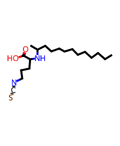 CCCCCCCCCCCC(C)NC(CCCN=C=S)C(=O)O